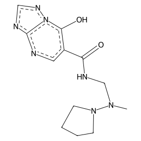 CN(CNC(=O)c1cnc2ncnn2c1O)N1CCCC1